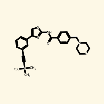 CC(C)(C)S(C)(C)C#Cc1cccc(-c2csc(NC(=O)c3ccc(CN4CCOCC4)cc3)n2)c1